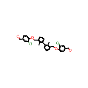 Cc1c(COc2ccc(C=O)cc2Cl)cccc1-c1cccc(COc2ccc(C=O)cc2Cl)c1C